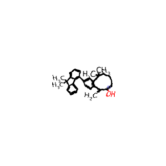 C=C1/C(O)=C\CCCC(C)(C)c2cc(-c3cccc4c3-c3ccccc3C4(C)C)ccc21